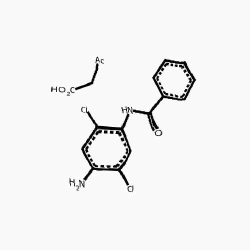 CC(=O)CC(=O)O.Nc1cc(Cl)c(NC(=O)c2ccccc2)cc1Cl